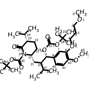 COCCCOc1cc(CC(C[C@H]2[C@@H](OC(=O)OC(C)(C)C)C[C@@H](C(C)C)C(=O)N2C(=O)OC(C)(C)C)C(C)C)ccc1OC